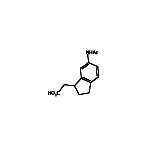 CC(=O)Nc1ccc2c(c1)C(CC(=O)O)CC2